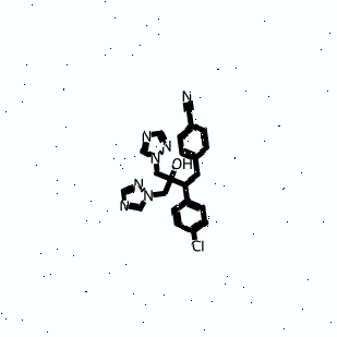 N#Cc1ccc(CC(c2ccc(Cl)cc2)C(O)(Cn2cncn2)Cn2cncn2)cc1